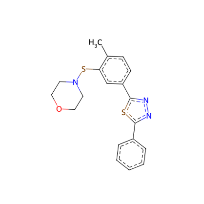 Cc1ccc(-c2nnc(-c3ccccc3)s2)cc1SN1CCOCC1